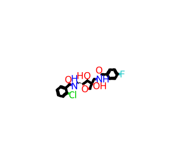 O=C(NC[C@]1(O)CO[C@H](CNC(=O)c2ccccc2Cl)[C@H]1O)c1ccc(F)cc1